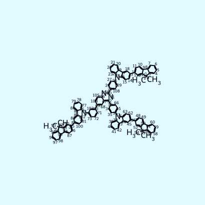 CC1(C)c2ccccc2-c2ccc(-c3ccc4c(c3)c3ccccc3n4-c3ccc(-c4nc(-c5ccc(-n6c7ccccc7c7cc(-c8ccc9c(c8)C(C)(C)c8ccccc8-9)ccc76)cc5)c5cc(-c6cccc(-n7c8ccccc8c8cc(-c9ccc%10c(c9)C(C)(C)c9ccccc9-%10)ccc87)c6)ccc5n4)cc3)cc21